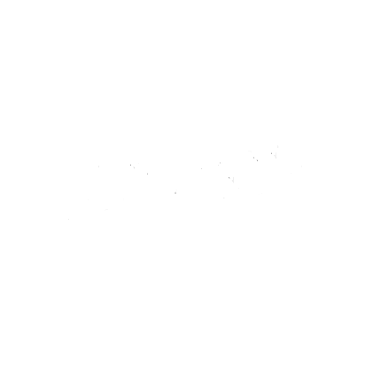 CCOC(=O)c1ccc2nc(CCC3CCN(c4ccc(Cl)nn4)CC3)sc2c1